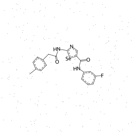 Cc1ccc(CC(=O)Nc2ncc(C(=O)Nc3cccc(F)c3)[se]2)cc1